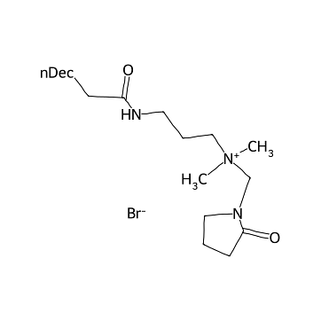 CCCCCCCCCCCC(=O)NCCC[N+](C)(C)CN1CCCC1=O.[Br-]